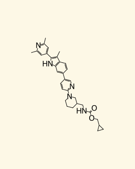 Cc1cc(-c2[nH]c3cc(-c4ccc(N5CCCC(CNC(=O)OCC6CC6)C5)nc4)ccc3c2C)cc(C)n1